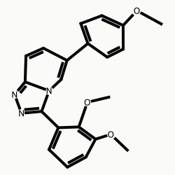 COc1ccc(-c2ccc3nnc(-c4cccc(OC)c4OC)n3c2)cc1